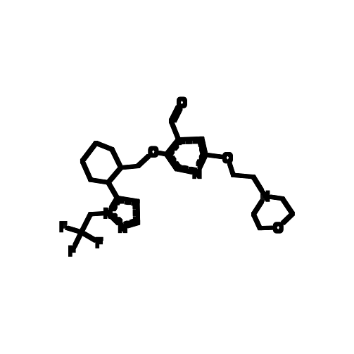 O=Cc1cc(OCCN2CCOCC2)ncc1OCC1CCCCC1c1ccnn1CC(F)(F)F